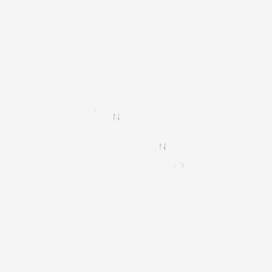 CC(C)N1CC2CC(C1)N(C(C)C)C2